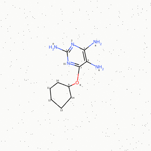 Nc1nc(N)c(N)c(OC2CCCCC2)n1